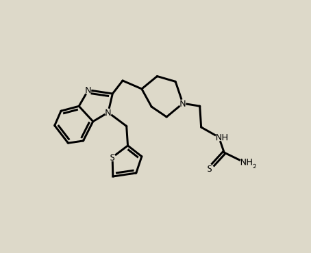 NC(=S)NCCN1CCC(Cc2nc3ccccc3n2Cc2cccs2)CC1